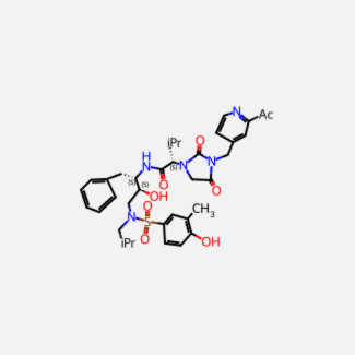 CC(=O)c1cc(CN2C(=O)CN([C@H](C(=O)N[C@@H](Cc3ccccc3)[C@@H](O)CN(CC(C)C)S(=O)(=O)c3ccc(O)c(C)c3)C(C)C)C2=O)ccn1